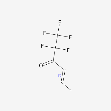 C/C=C/C(=O)C(F)(F)C(F)(F)F